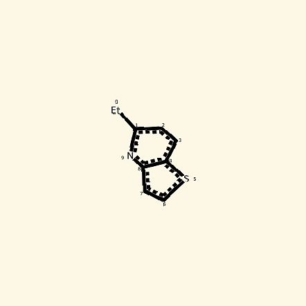 CCc1ccc2sccc2n1